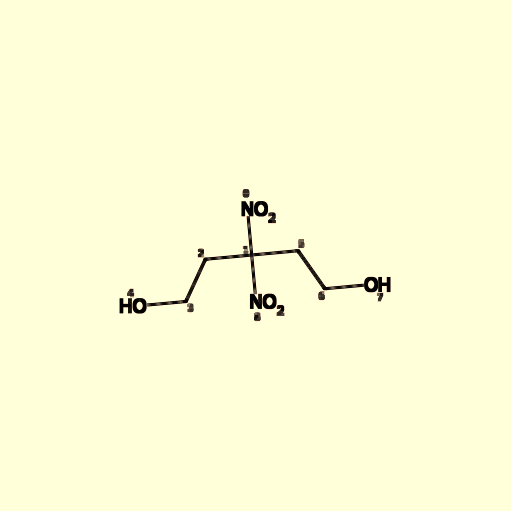 O=[N+]([O-])C(CCO)(CCO)[N+](=O)[O-]